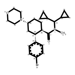 CN(C(=O)[C@@H]1CC[C@@H](N2CCOCC2)C[C@H]1c1ccc(Br)cc1)C(C1CC1)C1CC1